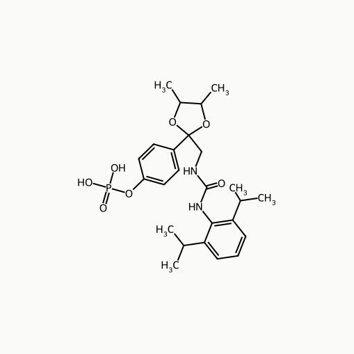 CC(C)c1cccc(C(C)C)c1NC(=O)NCC1(c2ccc(OP(=O)(O)O)cc2)OC(C)C(C)O1